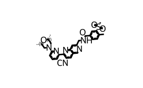 Cc1ccc(C(=O)NCc2cc3nc(-c4nc(N5C[C@@H](C)O[C@@H](C)C5)ccc4C#N)ccc3cn2)cc1S(C)(=O)=O